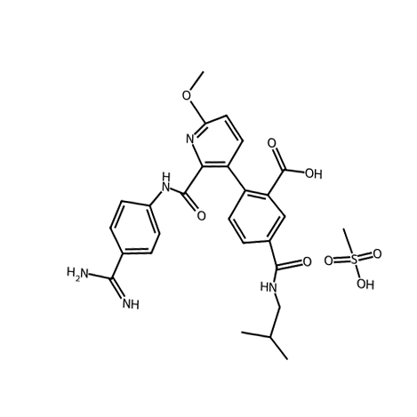 COc1ccc(-c2ccc(C(=O)NCC(C)C)cc2C(=O)O)c(C(=O)Nc2ccc(C(=N)N)cc2)n1.CS(=O)(=O)O